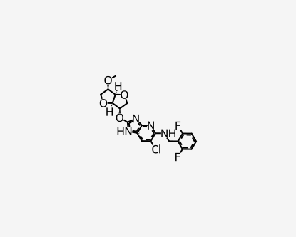 CO[C@@H]1CO[C@H]2[C@@H]1OC[C@H]2Oc1nc2nc(NCc3c(F)cccc3F)c(Cl)cc2[nH]1